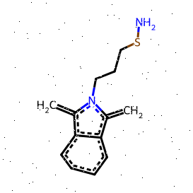 C=c1c2ccccc2c(=C)n1CCCSN